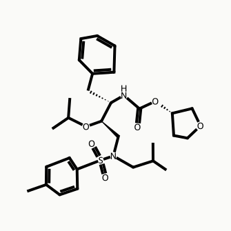 Cc1ccc(S(=O)(=O)N(CC(C)C)C[C@@H](OC(C)C)[C@H](Cc2ccccc2)NC(=O)O[C@H]2CCOC2)cc1